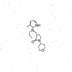 CC1=C[C]=CNC1N1CCC[C@@]2(CCN(C3CCOCC3)C2=O)C1